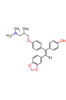 CC/C(=C(\c1ccc(O)cc1)c1ccc(OCC(CN(C)C)OC(C)=O)cc1)c1ccc2c(c1)OCO2